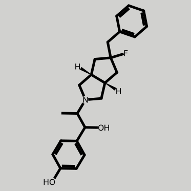 CC(C(O)c1ccc(O)cc1)N1C[C@@H]2CC(F)(Cc3ccccc3)C[C@@H]2C1